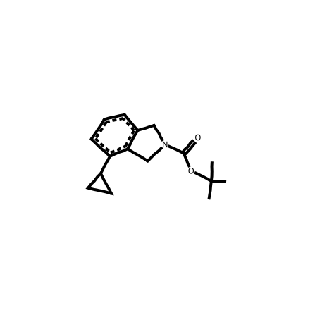 CC(C)(C)OC(=O)N1Cc2cccc(C3CC3)c2C1